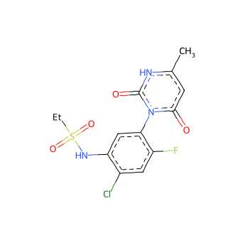 CCS(=O)(=O)Nc1cc(-n2c(=O)cc(C)[nH]c2=O)c(F)cc1Cl